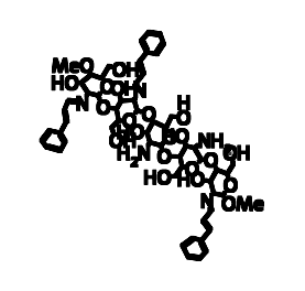 COC1OC(CO)C(OC2OC(CO)C(OC3OC(CO)C(OC4OC(CO)C(OC5OC(CO)C(OC)C(O)C5/N=C/C=C/c5ccccc5)C(O)C4/N=C/C=C/c4ccccc4)C(O)C3N)C(O)C2N)C(O)C1/N=C/C=C/c1ccccc1